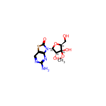 CO[C@@]1(O)[C@H](CO)O[C@@H](n2c(=O)sc3cnc(N)nc32)[C@H]1O